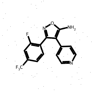 Nc1onc(-c2ccc(C(F)(F)F)cc2F)c1-c1ccncc1